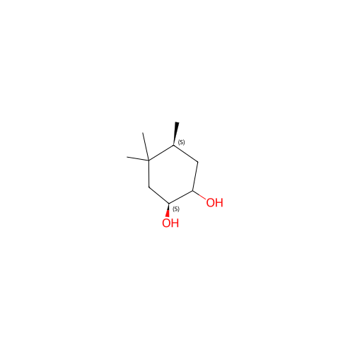 C[C@H]1CC(O)[C@@H](O)CC1(C)C